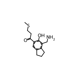 CSCCC(=O)c1cc2c(c(CN)c1O)CCC2